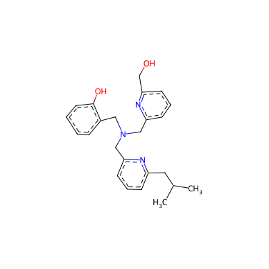 CC(C)Cc1cccc(CN(Cc2cccc(CO)n2)Cc2ccccc2O)n1